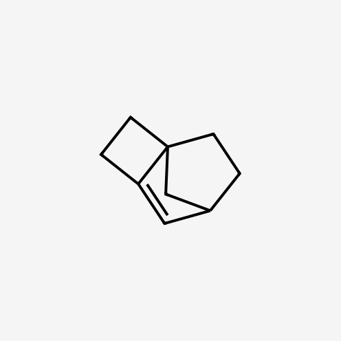 C1=C2CCC23CCC1C3